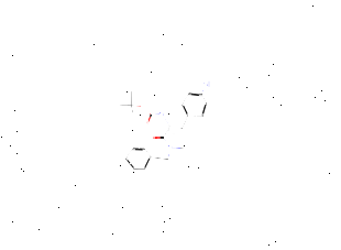 CN(Cc1ccccc1)C(=O)[C@H](Cc1ccc(N)cc1)NC(=O)OC(C)(C)C